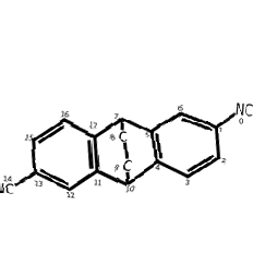 [C-]#[N+]c1ccc2c(c1)C1CCC2c2cc(C#N)ccc21